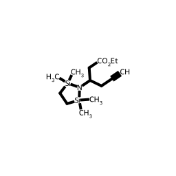 C#CCC(CC(=O)OCC)N1[Si](C)(C)CC[Si]1(C)C